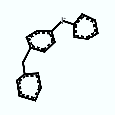 c1ccc(Cc2ccc([I+]c3ccccc3)cc2)cc1